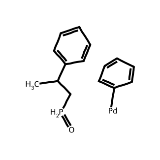 CC(C[PH2]=O)c1ccccc1.[Pd][c]1ccccc1